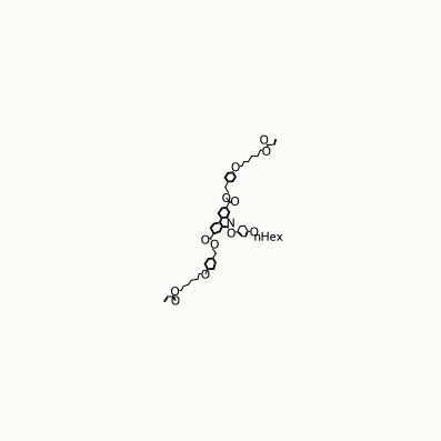 C=CC(=O)OCCCCCCOc1ccc(CCOC(=O)c2ccc3c(c2)nc(OC2=CC=C(OCCCCCC)CC2)c2cc(C(=O)OCCc4ccc(OCCCCCCOC(=O)C=C)cc4)ccc23)cc1